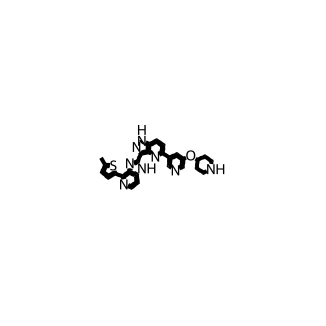 Cc1ccc(-c2nccc3[nH]c(-c4n[nH]c5ccc(-c6cncc(OC7CCNCC7)c6)nc45)nc23)s1